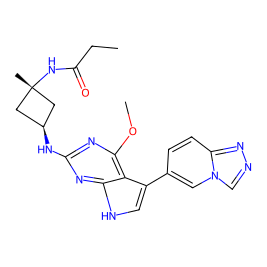 CCC(=O)N[C@]1(C)C[C@@H](Nc2nc(OC)c3c(-c4ccc5nncn5c4)c[nH]c3n2)C1